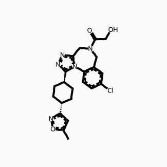 Cc1cc([C@H]2CC[C@H](c3nnc4n3-c3ccc(Cl)cc3CN(C(=O)CO)C4)CC2)no1